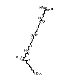 CCCCCCCCCCCCCCCCCC(=O)NC(CCC(=O)NCCOCCOCC(=O)NCCOCCOCC(=O)NCCCC[C@@H](CO)NC)C(=O)O